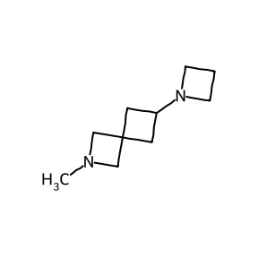 CN1CC2(CC(N3CCC3)C2)C1